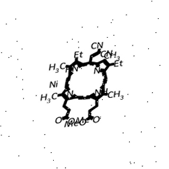 CCC1=C(C)c2nc1cc1[nH]c(cc3nc(cc4[nH]c(c2C=C(C#N)C#N)c(CC)c4C)C(C)=C3CCC(=O)OC)c(CCC(=O)OC)c1C.[Ni]